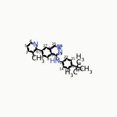 Cc1cccnc1-c1ccc2c(Nc3ccc(C(C)(C)C)cc3)nncc2c1